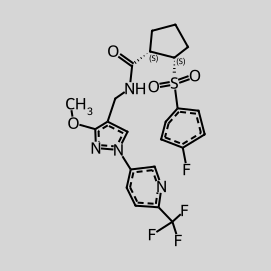 COc1nn(-c2ccc(C(F)(F)F)nc2)cc1CNC(=O)[C@@H]1CCC[C@@H]1S(=O)(=O)c1ccc(F)cc1